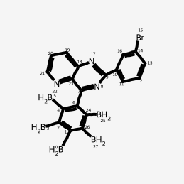 Bc1c(B)c(B)c(-c2nc(-c3cccc(Br)c3)nc3cccnc23)c(B)c1B